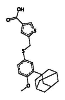 COc1ccc(SCc2cc(C(=O)O)cs2)cc1C12CC3CC(CC(C3)C1)C2